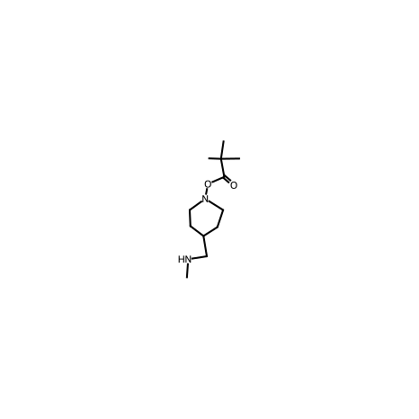 CNCC1CCN(OC(=O)C(C)(C)C)CC1